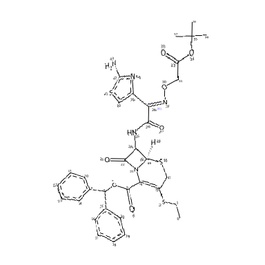 CCSC1=C(C(=O)OC(c2ccccc2)c2ccccc2)N2C(=O)C(NC(=O)/C(=N/OCC(=O)OC(C)(C)C)c3csc(N)n3)[C@H]2SC1